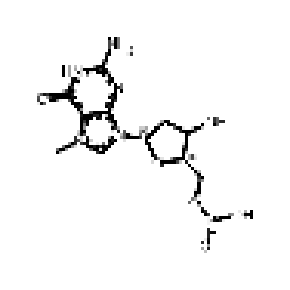 C[n+]1cn([C@H]2CC(O)[C@@H](CO[PH](=O)O)O2)c2nc(N)[nH]c(=O)c21